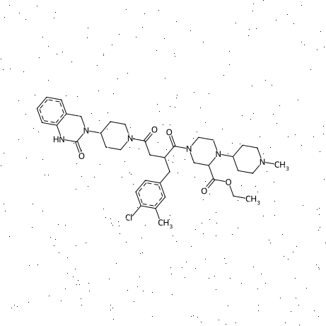 CCOC(=O)C1CN(C(=O)C(CC(=O)N2CCC(N3Cc4ccccc4NC3=O)CC2)Cc2ccc(Cl)c(C)c2)CCN1C1CCN(C)CC1